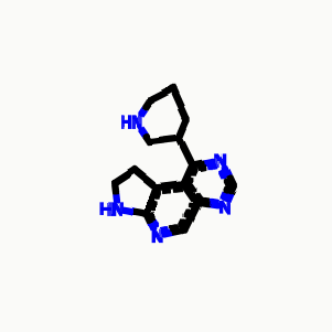 c1nc(C2CCCNC2)c2c3c(ncc2n1)NCC3